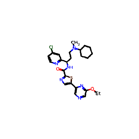 CCOc1cncc(-c2cnc(C(=O)NC(CCN(C)C3CCCCC3)c3cc(Cl)ccn3)s2)n1